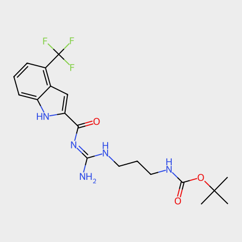 CC(C)(C)OC(=O)NCCCNC(N)=NC(=O)c1cc2c(C(F)(F)F)cccc2[nH]1